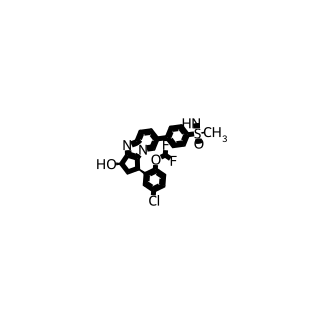 C[S@](=N)(=O)c1ccc(-c2ccc3nc4c(n3c2)[C@@H](c2cc(Cl)ccc2OC(F)F)C[C@H]4O)cc1